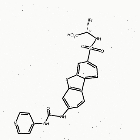 CC(C)[C@H](NS(=O)(=O)c1ccc2c(c1)sc1cc(NC(=O)Nc3ccncc3)ccc12)C(=O)O